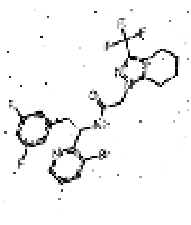 O=C(Cn1nc(C(F)(F)F)c2c1CCCC2)N[C@@H](Cc1cc(F)cc(F)c1)c1ncccc1Br